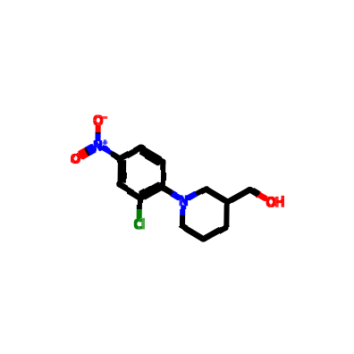 O=[N+]([O-])c1ccc(N2CCCC(CO)C2)c(Cl)c1